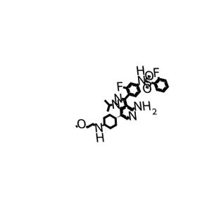 COCCN[C@H]1CC[C@H](c2cnc(N)c3c(-c4ccc(NS(=O)(=O)c5ccccc5F)cc4F)nn(C(C)C)c32)CC1